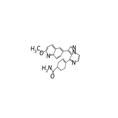 COc1ccc2cc(-c3cnn4ccnc(C5=CCC(C(N)=O)CC5)c34)ccc2n1